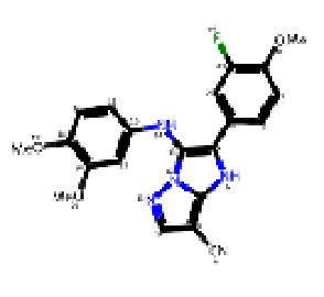 COc1ccc(-c2[nH]c3c(C#N)cnn3c2Nc2ccc(OC)c(OC)c2)cc1F